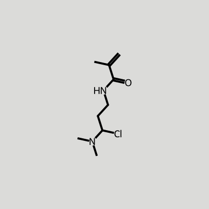 C=C(C)C(=O)NCCC(Cl)N(C)C